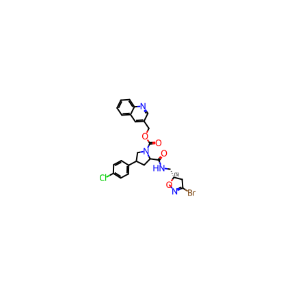 O=C(NC[C@@H]1CC(Br)=NO1)C1CC(c2ccc(Cl)cc2)CN1C(=O)OCc1cnc2ccccc2c1